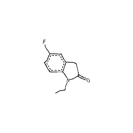 CCN1C(=O)Cc2cc(F)ccc21